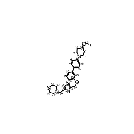 CN1CCN(c2ccc(-c3ccc4c(c3)OCc3nc(CN5CCSCC5)cn3-4)cc2)CC1